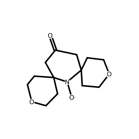 [O]N1C2(CCOCC2)CC(=O)CC12CCOCC2